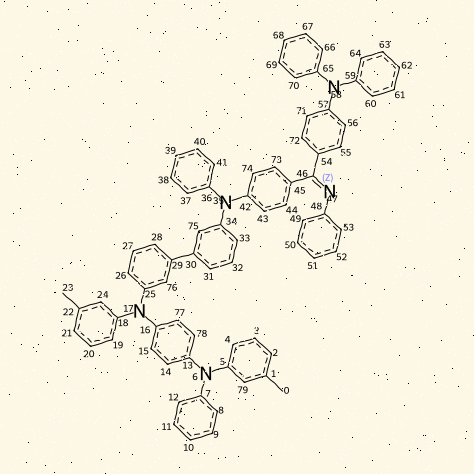 Cc1cccc(N(c2ccccc2)c2ccc(N(c3cccc(C)c3)c3cccc(-c4cccc(N(c5ccccc5)c5ccc(/C(=N\c6ccccc6)c6ccc(N(c7ccccc7)c7ccccc7)cc6)cc5)c4)c3)cc2)c1